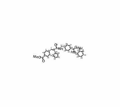 COC(=O)c1ccc(C=C(C(=O)NCc2ccc(C(=O)Nc3ccccc3N)cc2)c2cccs2)cc1